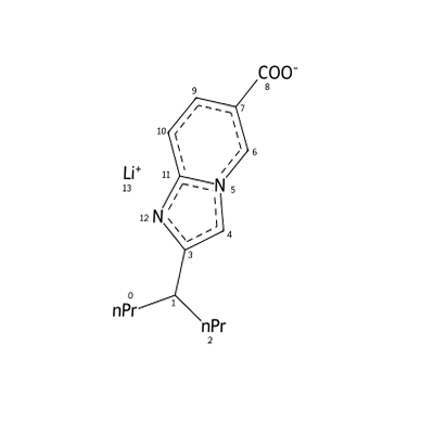 CCCC(CCC)c1cn2cc(C(=O)[O-])ccc2n1.[Li+]